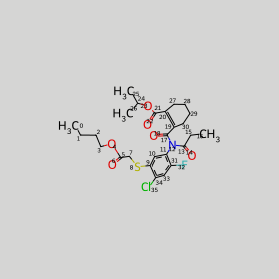 CCCCOC(=O)CSc1cc(N(C(=O)CC)C(=O)C2=C(C(=O)OC(C)C)CCCC2)c(F)cc1Cl